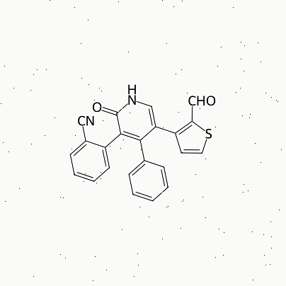 N#Cc1ccccc1-c1c(-c2ccccc2)c(-c2ccsc2C=O)c[nH]c1=O